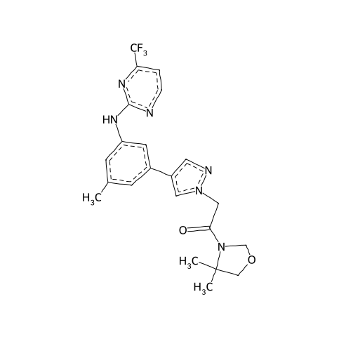 Cc1cc(Nc2nccc(C(F)(F)F)n2)cc(-c2cnn(CC(=O)N3COCC3(C)C)c2)c1